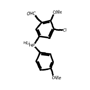 COc1ccc(Pc2cc(Cl)c(OC)c(C=O)c2)cc1.[LiH]